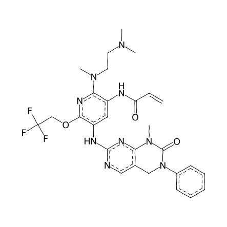 C=CC(=O)Nc1cc(Nc2ncc3c(n2)N(C)C(=O)N(c2ccccc2)C3)c(OCC(F)(F)F)nc1N(C)CCN(C)C